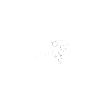 CC(C)(C)OC(=O)N1CC2(CCN(c3nc(Cl)nnc3Oc3ccc(F)cc3-c3cncnc3C3CC3)C2)C1